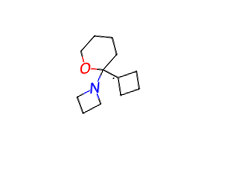 C1CCC([C]2CCC2)(N2CCC2)OC1